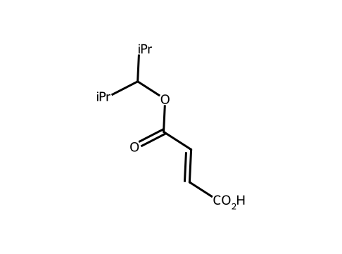 CC(C)C(OC(=O)/C=C/C(=O)O)C(C)C